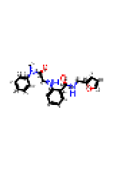 CN(C(=O)CNc1ccccc1C(=O)NCc1ccco1)c1ccccc1